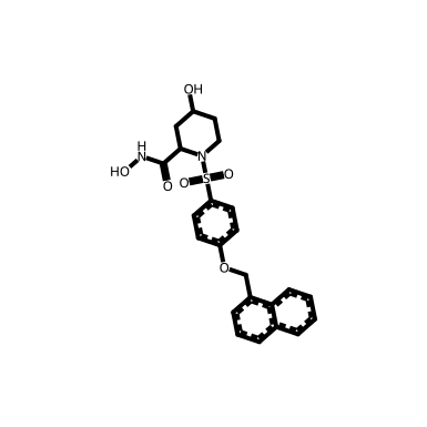 O=C(NO)C1CC(O)CCN1S(=O)(=O)c1ccc(OCc2cccc3ccccc23)cc1